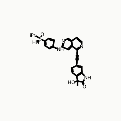 CC(C)S(=N)(=O)c1ccc(Nc2cc3c(C#Cc4ccc5c(c4)NC(=O)C5(C)O)nccc3cn2)cc1